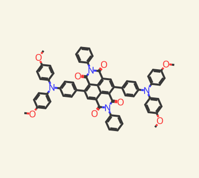 COc1ccc(N(c2ccc(OC)cc2)c2ccc(-c3cc4c5c(c(-c6ccc(N(c7ccc(OC)cc7)c7ccc(OC)cc7)cc6)cc6c5c3C(=O)N(c3ccccc3)C6=O)C(=O)N(c3ccccc3)C4=O)cc2)cc1